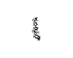 CC1(C(=O)N2CCC(c3ccc(C(=O)NCc4cn5ccnc5cn4)s3)CC2)CC1